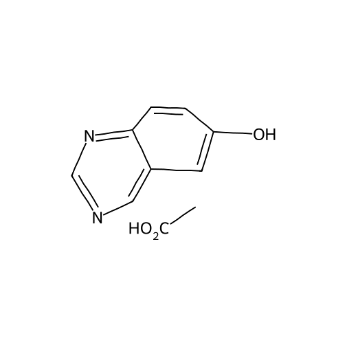 CC(=O)O.Oc1ccc2ncncc2c1